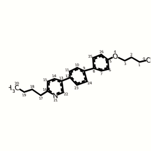 CCCCOc1ccc(-c2ccc(-c3ccc(CCCC)nc3)cc2)cc1